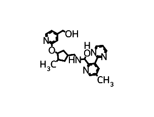 Cc1cnc(C(O)NCC2CC(C)C(Oc3cc(CO)ccn3)C2)c(-c2ncccn2)c1